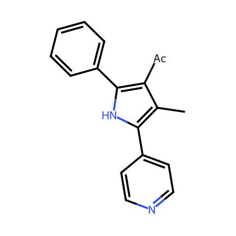 CC(=O)c1c(-c2ccccc2)[nH]c(-c2ccncc2)c1C